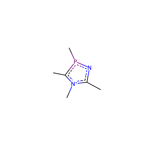 Cc1np(C)c(C)[n+]1C